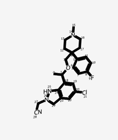 CC(OCC1(c2ccc(F)cc2)CCN(C)CC1)c1cc(Cl)cc2c1NN(CC#N)C2